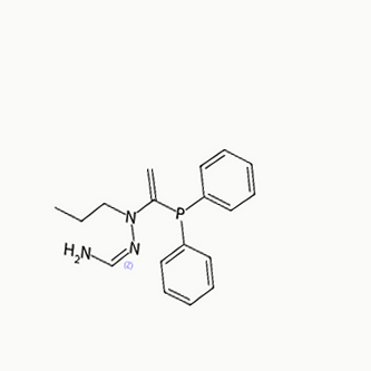 C=C(N(CCC)/N=C\N)P(c1ccccc1)c1ccccc1